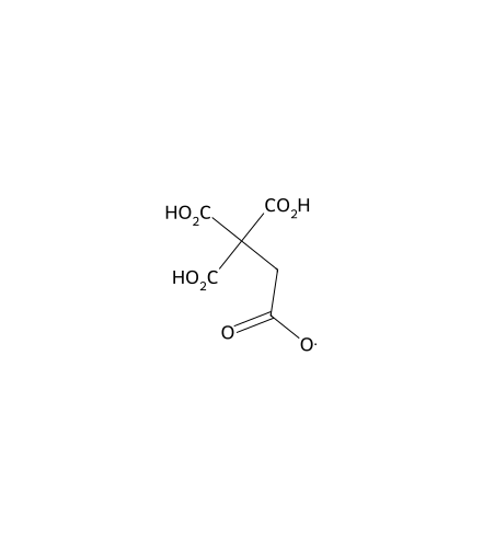 [O]C(=O)CC(C(=O)O)(C(=O)O)C(=O)O